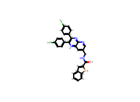 O=C(NCc1cnc2nc(-c3ccc(F)cc3)c(-c3ccc(F)cc3)nc2c1)c1cc2ccccc2s1